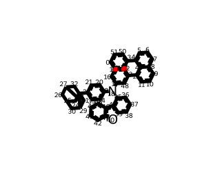 c1ccc(-c2cccc3cccc(-c4cccc(N(c5ccc(C67CC8CC(CC(C8)C6)C7)cc5)c5cccc6oc7ccccc7c56)c4)c23)cc1